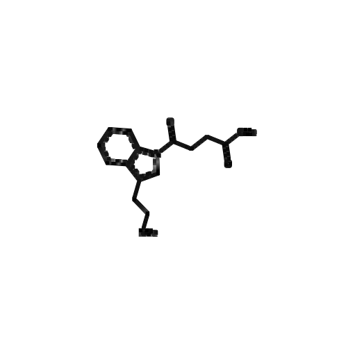 CNCCc1cn(C(=O)CCC(=O)OC)c2ccccc12